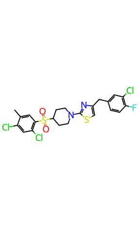 Cc1cc(S(=O)(=O)C2CCN(c3nc(Cc4ccc(F)c(Cl)c4)cs3)CC2)c(Cl)cc1Cl